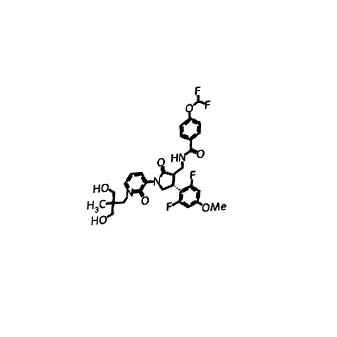 COc1cc(F)c([C@@H]2CN(c3cccn(CC(C)(CO)CO)c3=O)C(=O)C2CNC(=O)c2ccc(OC(F)F)cc2)c(F)c1